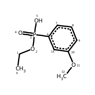 CCOP(=O)(O)c1cccc(OC)c1